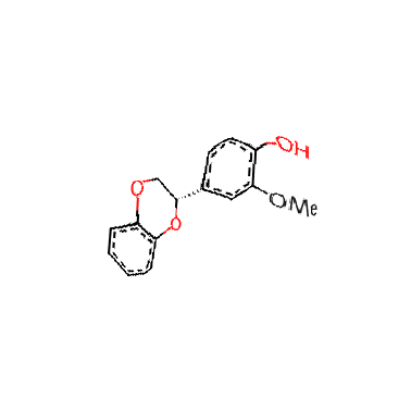 COc1cc([C@H]2COc3ccccc3O2)ccc1O